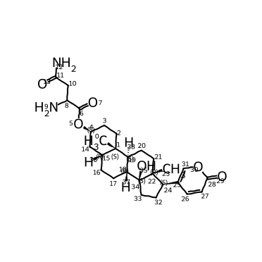 C[C@]12CC[C@H](OC(=O)C(N)CC(N)=O)C[C@H]1CC[C@@H]1[C@@H]2CC[C@]2(C)[C@@H](c3ccc(=O)oc3)CC[C@]12O